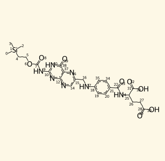 C[Si](C)(C)CCOC(=O)Nc1nc2ncc(CNc3ccc(C(=O)NC(CCC(=O)O)C(=O)O)cc3)nc2c(=O)[nH]1